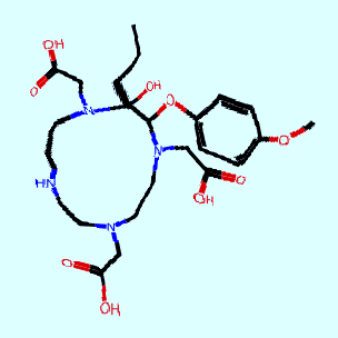 CCCC1(O)C(Oc2ccc(OC)cc2)N(CC(=O)O)CCN(CC(=O)O)CCNCCN1CC(=O)O